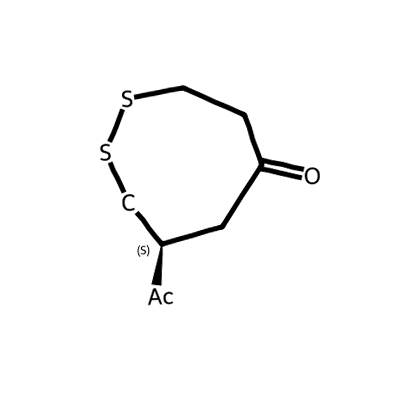 CC(=O)[C@H]1CSSCCC(=O)C1